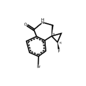 O=C1NC[C@]2(C[C@H]2F)c2cc(Br)ccc21